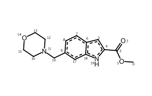 COC(=O)c1cc2ccc(CN3CCOCC3)cc2[nH]1